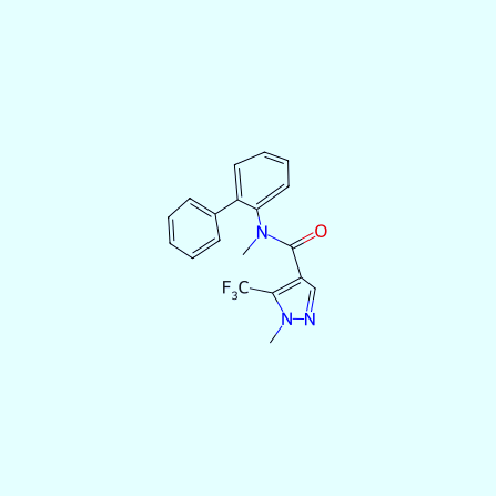 CN(C(=O)c1cnn(C)c1C(F)(F)F)c1ccccc1-c1ccccc1